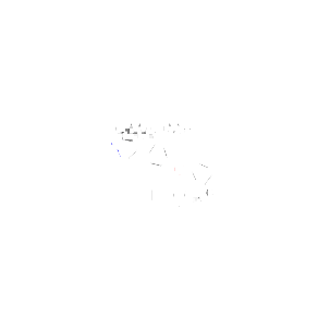 COc1cc(-c2cc(F)c(COc3ccc4c(c3)[C@]3(CCC4)C[C@H]3C(=O)O)cc2[C@@H](OC)C(C)(C)C)c(F)cn1